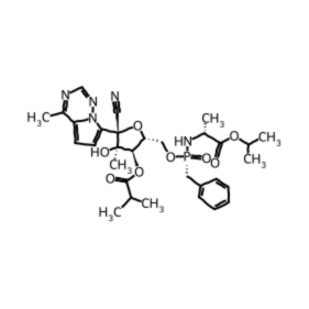 Cc1ncnn2c([C@]3(C#N)O[C@H](CO[P@@](=O)(Cc4ccccc4)N[C@H](C)C(=O)OC(C)C)[C@@H](OC(=O)C(C)C)[C@@]3(C)O)ccc12